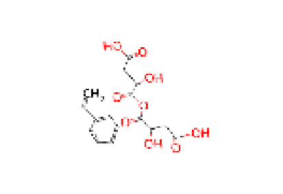 C=Cc1ccccc1.O=C(O)CC(O)C(=O)OC(=O)C(O)CC(=O)O